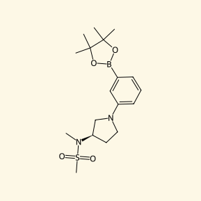 CN([C@@H]1CCN(c2cccc(B3OC(C)(C)C(C)(C)O3)c2)C1)S(C)(=O)=O